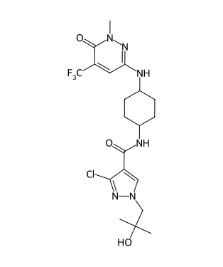 Cn1nc(NC2CCC(NC(=O)c3cn(CC(C)(C)O)nc3Cl)CC2)cc(C(F)(F)F)c1=O